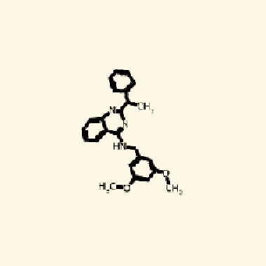 COc1cc(CNc2nc(C(C)c3ccccc3)nc3ccccc23)cc(OC)c1